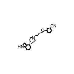 N#Cc1cccc(OCCCCN2CCN(c3cccc4[nH]ccc34)CC2)c1